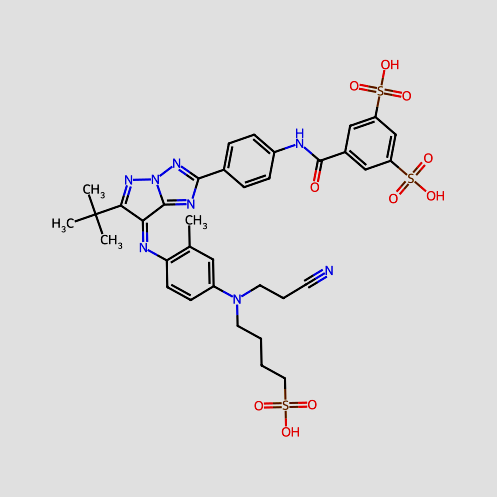 Cc1cc(N(CCC#N)CCCCS(=O)(=O)O)ccc1/N=C1/C(C(C)(C)C)=Nn2nc(-c3ccc(NC(=O)c4cc(S(=O)(=O)O)cc(S(=O)(=O)O)c4)cc3)nc21